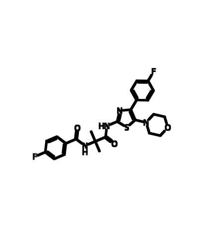 CC(C)(NC(=O)c1ccc(F)cc1)C(=O)Nc1nc(-c2ccc(F)cc2)c(N2CCOCC2)s1